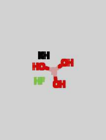 F.OB(O)O.[KH]